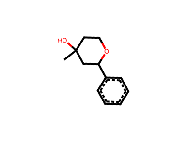 CC1(O)CCOC(c2ccccc2)C1